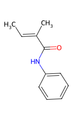 CC=C(C)C(=O)Nc1ccccc1